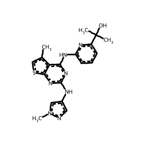 Cc1csc2nc(Nc3cnn(C)c3)nc(Nc3cccc(C(C)(C)O)n3)c12